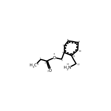 CCC(=O)OCc1ccccc1CN